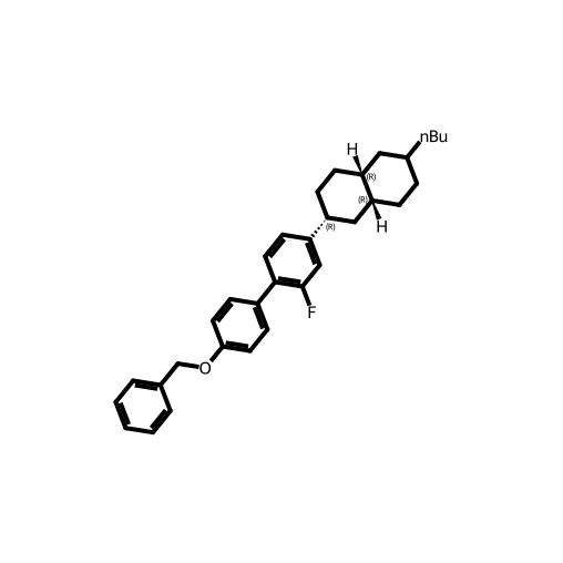 CCCCC1CC[C@@H]2C[C@H](c3ccc(-c4ccc(OCc5ccccc5)cc4)c(F)c3)CC[C@@H]2C1